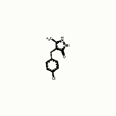 O=c1[nH][nH]c(C(F)(F)F)c1Cc1ccc(Cl)cc1